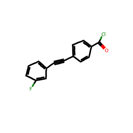 O=C(Cl)c1ccc(C#Cc2cccc(F)c2)cc1